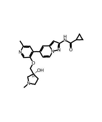 Cc1cc(-c2ccn3nc(NC(=O)C4CC4)cc3c2)c(OC[C@@]2(O)CCN(C)C2)cn1